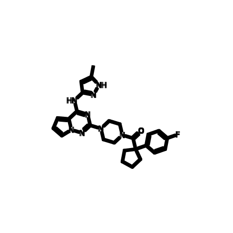 Cc1cc(Nc2nc(N3CCN(C(=O)C4(c5ccc(F)cc5)CCCC4)CC3)nn3cccc23)n[nH]1